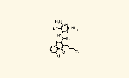 CC[C@H](Nc1nc(N)nc(N)c1C#N)c1nc2cccc(Cl)c2c(=O)n1CCCC#N